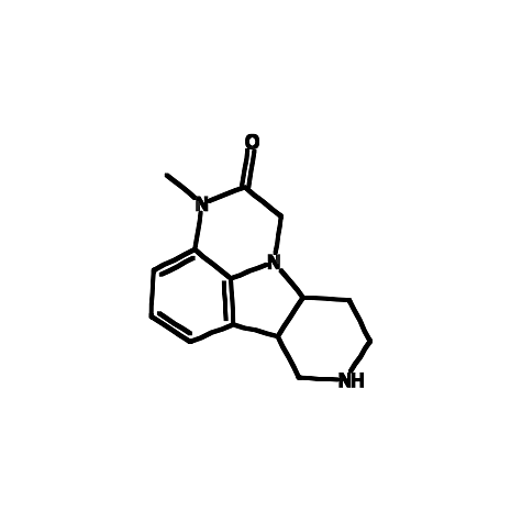 CN1C(=O)CN2c3c(cccc31)C1CNCCC12